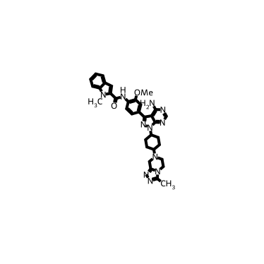 COc1cc(-c2nn(C3CCC(N4CCn5c(C)nnc5C4)CC3)c3ncnc(N)c23)ccc1NC(=O)c1cc2ccccc2n1C